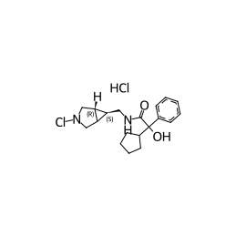 Cl.O=C(NC[C@H]1C2CN(Cl)C[C@@H]21)C(O)(c1ccccc1)C1CCCC1